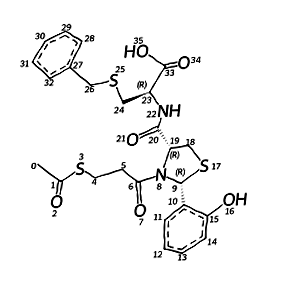 CC(=O)SCCC(=O)N1[C@@H](c2ccccc2O)SC[C@H]1C(=O)N[C@@H](CSCc1ccccc1)C(=O)O